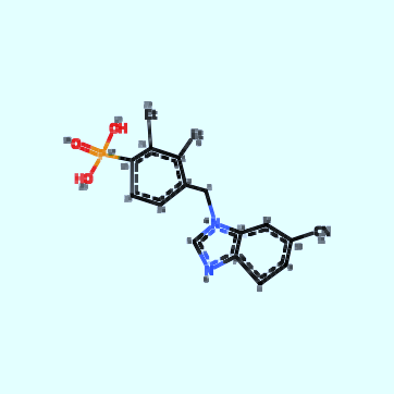 CCc1c(Cn2cnc3ccc(C#N)cc32)ccc(P(=O)(O)O)c1CC